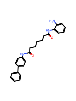 Nc1ccccc1NC(=O)CCCCCC(=O)Nc1ccc(-c2ccccc2)cc1